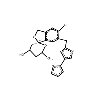 CC1CC(O)C[C@@]2(OCc3cc(Cl)c(Cc4ncc(-c5ccco5)s4)cc32)O1